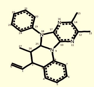 C=CC1c2ccccc2N2c3nc(C)c(C)nc3N(c3ccccc3)C2C1C